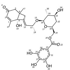 CC1=CC(=O)CC(C)(C)[C@@]1(O)/C=C/[C@@H](C)O[C@@H]1O[C@H](COC(=O)c2cc(O)c(O)c(O)c2)C[C@H](O)[C@H]1C